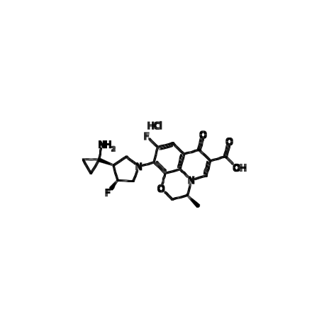 C[C@H]1COc2c(N3C[C@@H](F)[C@@H](C4(N)CC4)C3)c(F)cc3c(=O)c(C(=O)O)cn1c23.Cl